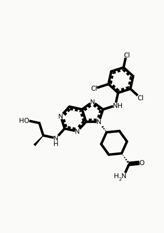 C[C@@H](CO)Nc1ncc2nc(Nc3c(Cl)cc(Cl)cc3Cl)n([C@H]3CC[C@@H](C(N)=O)CC3)c2n1